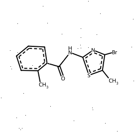 Cc1ccccc1C(=O)Nc1nc(Br)c(C)s1